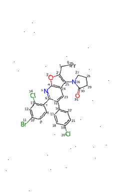 CC(C)Cc1oc2nc(-c3ccc(Br)cc3Cl)c(-c3ccc(Cl)cc3)cc2c1N1CCCC1=O